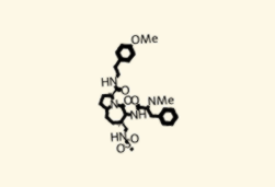 CNC(Cc1ccccc1)C(=O)NC1C(=O)N2C(CC[C@@H]1CNS(C)(=O)=O)CC[C@H]2C(=O)NCCc1ccc(OC)cc1